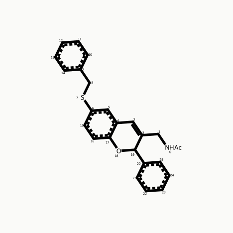 CC(=O)NCC1=Cc2cc(SCc3ccccc3)ccc2OC1c1ccccc1